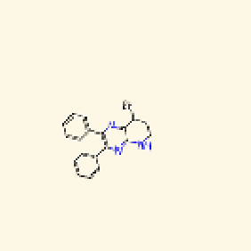 CCC1CCNc2nc(-c3ccccc3)c(-c3ccccc3)nc21